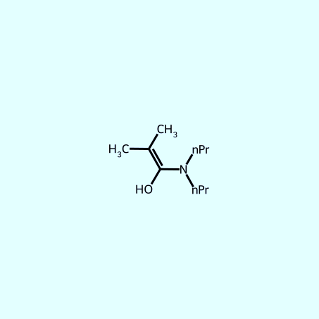 CCCN(CCC)C(O)=C(C)C